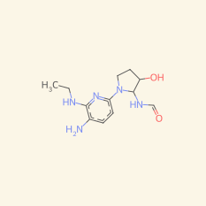 CCNc1nc(N2CCC(O)C2NC=O)ccc1N